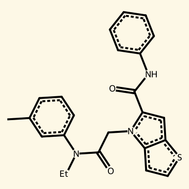 CCN(C(=O)Cn1c(C(=O)Nc2ccccc2)cc2sccc21)c1cccc(C)c1